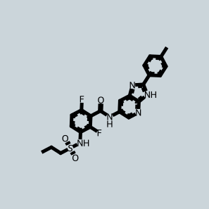 CCCS(=O)(=O)Nc1ccc(F)c(C(=O)Nc2cnc3[nH]c(-c4ccc(C)cc4)nc3c2)c1F